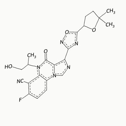 CC(CO)n1c(=O)c2c(-c3noc(C4CCC(C)(C)O4)n3)ncn2c2ccc(F)c(C#N)c21